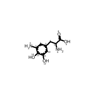 Nc1cc(CC(N)C(=O)O)cc(O)c1O